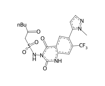 CCCCC(=O)CS(=O)(=O)Nn1c(=O)[nH]c2cc(C(F)(F)F)c(-c3ccnn3C)cc2c1=O